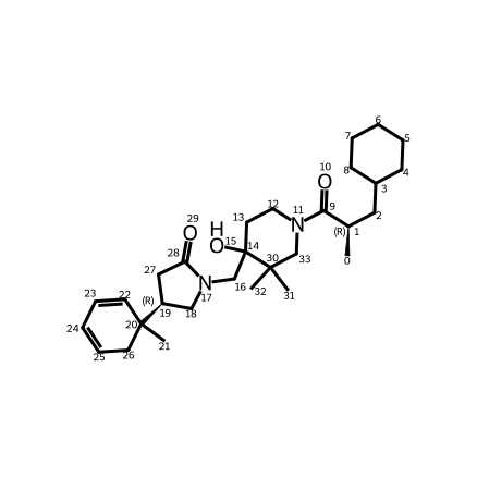 C[C@H](CC1CCCCC1)C(=O)N1CCC(O)(CN2C[C@@H](C3(C)C=CC=CC3)CC2=O)C(C)(C)C1